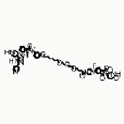 C[C@@H](NC(=O)c1cccc(NC2(c3nnc(-c4ccncc4)[nH]3)CCNCC2)c1)c1cccc(OCCCCCCOCCOCCOCCCC(=O)N2CCN(c3cc4c(cc3F)C(=O)N(C3CCC(=O)NC3=O)C4=O)CC2)c1